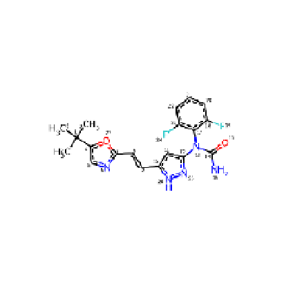 CC(C)(C)c1cnc(C=Cc2cc(N(C(N)=O)c3c(F)cccc3F)n[nH]2)o1